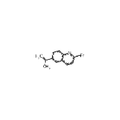 C=C(C)c1ccc2nc(C(C)C)ccc2c1